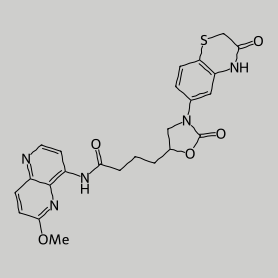 COc1ccc2nccc(NC(=O)CCCC3CN(c4ccc5c(c4)NC(=O)CS5)C(=O)O3)c2n1